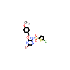 COc1ccc(COc2nc(Br)cnc2NS(=O)(=O)c2ccc(Cl)s2)cc1